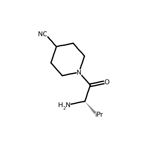 CC(C)[C@H](N)C(=O)N1CCC(C#N)CC1